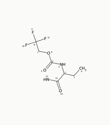 CCC(NC(=O)OCC(F)(F)F)C([NH])=O